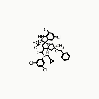 C[C@]1(OCc2ccccc2)C[C@@H]2C(C(=O)N(CC3CC3)c3cc(Cl)cc(Cl)c3)[C@@H](C(=O)O)[C@@]3(C(=O)Nc4c(Cl)cc(Cl)cc43)N2C1